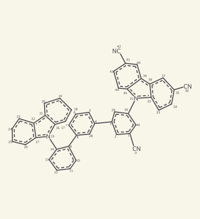 N#Cc1cc(-c2cccc(-c3ccccc3-n3c4ccccc4c4ccccc43)c2)cc(-n2c3ccc(C#N)cc3c3cc(C#N)ccc32)c1